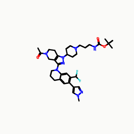 CC(=O)N1CCc2c(c(N3CCCc4cc(-c5cnn(C)c5)c(C(F)F)cc43)nn2C2CCN(CCCNC(=O)OC(C)(C)C)CC2)C1